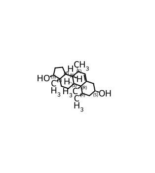 C[C@@H]1C=C2C[C@@H](O)C[C@@H](C)[C@]2(C)[C@H]2CC[C@]3(C)[C@@H](O)CC[C@H]3[C@H]12